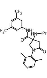 Cc1cccc(C)c1N1CC(NC(C)C)(C(=O)Nc2cc(C(F)(F)F)cc(C(F)(F)F)c2)CC1=O